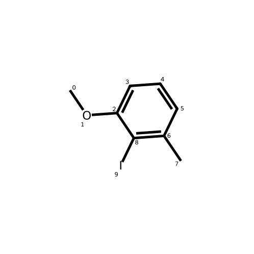 COc1cccc(C)c1I